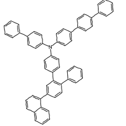 c1ccc(-c2ccc(-c3ccc(N(c4ccc(-c5ccccc5)cc4)c4ccc(-c5cc(-c6cccc7ccccc67)ccc5-c5ccccc5)cc4)cc3)cc2)cc1